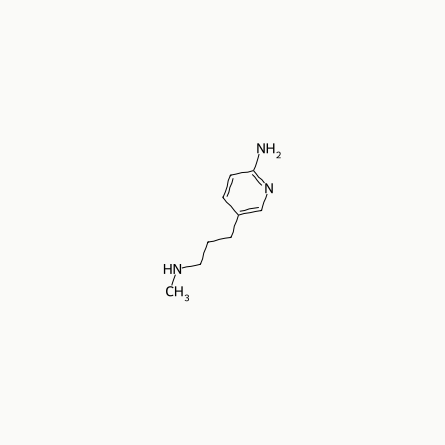 CNCCCc1ccc(N)nc1